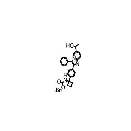 CC(O)c1ccc2nc(-c3ccc(C4(NC(=O)OC(C)(C)C)CCC4)cc3)c(-c3ccccc3)n2c1